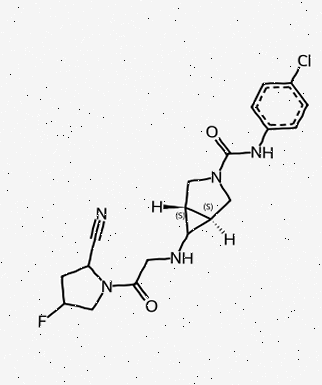 N#CC1CC(F)CN1C(=O)CNC1[C@@H]2CN(C(=O)Nc3ccc(Cl)cc3)C[C@@H]12